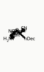 CCCCCCCCCCCCCCCCCC(COP(=O)(O)OC1[C@@]2(C#N)O[C@@H](c3ccc4c(N)ncnn34)[C@H](O)[C@@]12O)OCc1cc(F)cc(C#N)c1